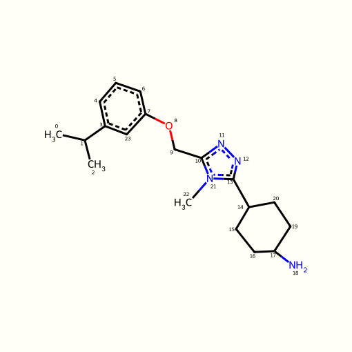 CC(C)c1cccc(OCc2nnc(C3CCC(N)CC3)n2C)c1